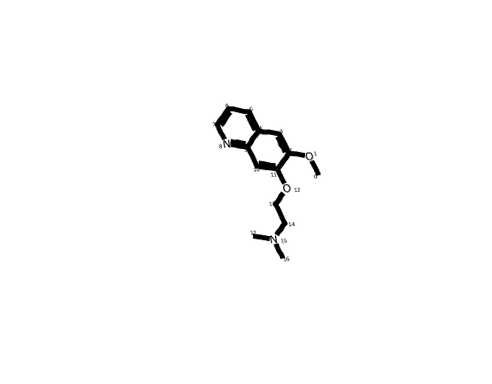 COc1cc2cccnc2cc1OCCN(C)C